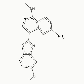 CNc1ncc(-c2cc3ccc(OC)cn3n2)c2cc(N)ncc12